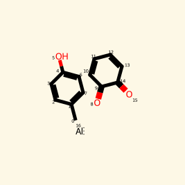 Cc1ccc(O)cc1.O=C1C=CC=CC1=O.[Al]